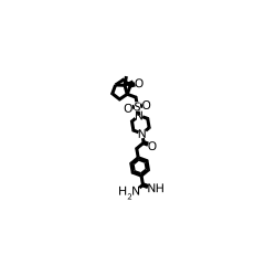 CC1(C)C2CCC1(CS(=O)(=O)N1CCN(C(=O)Cc3ccc(C(=N)N)cc3)CC1)C(=O)C2